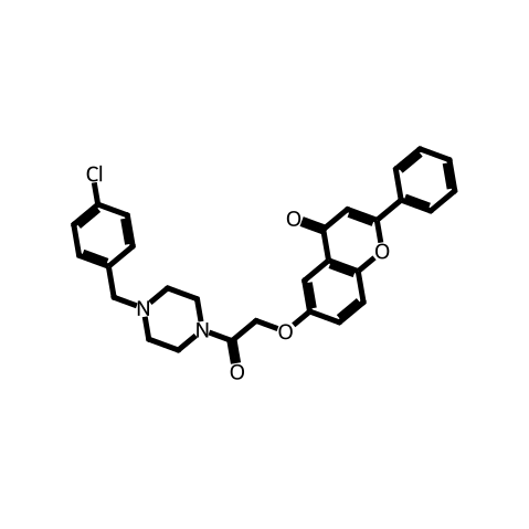 O=C(COc1ccc2oc(-c3ccccc3)cc(=O)c2c1)N1CCN(Cc2ccc(Cl)cc2)CC1